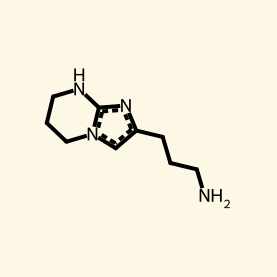 NCCCc1cn2c(n1)NCCC2